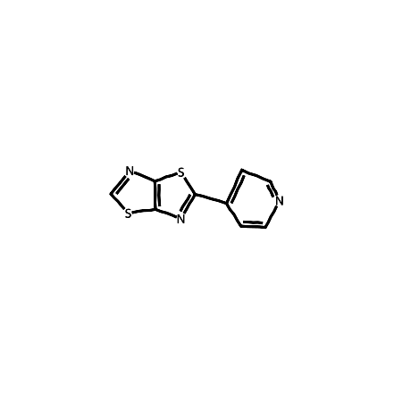 c1cc(-c2nc3scnc3s2)ccn1